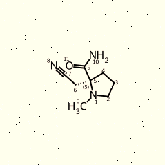 CN1CCC[C@]1(CC#N)C(N)=O